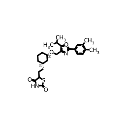 Cc1ccc(-c2nc(CO[C@H]3CCC[C@@H](CCC4SC(=O)NC4=O)C3)c(C(C)C)o2)cc1C